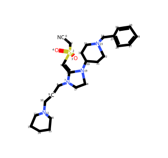 N#CCS(=O)(=O)C=C1N(CCCN2CCCCC2)CCN1C1CCN(Cc2ccccc2)CC1